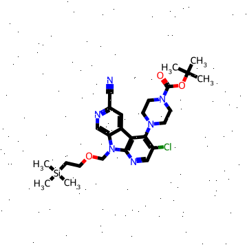 CC(C)(C)OC(=O)N1CCN(c2c(Cl)cnc3c2c2cc(C#N)ncc2n3COCC[Si](C)(C)C)CC1